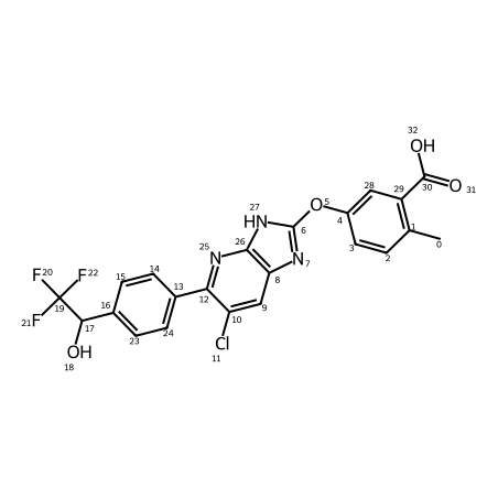 Cc1ccc(Oc2nc3cc(Cl)c(-c4ccc(C(O)C(F)(F)F)cc4)nc3[nH]2)cc1C(=O)O